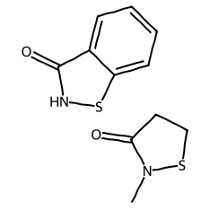 CN1SCCC1=O.O=c1[nH]sc2ccccc12